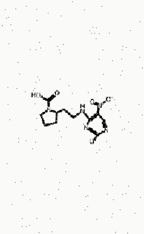 O=C(O)N1CCCC1CCNc1nc(Cl)ncc1[N+](=O)[O-]